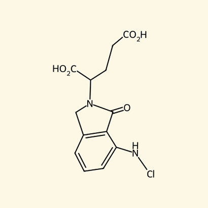 O=C(O)CCC(C(=O)O)N1Cc2cccc(NCl)c2C1=O